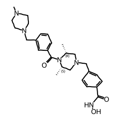 C[C@@H]1CN(Cc2ccc(C(=O)NO)cc2)C[C@H](C)N1C(=O)c1cccc(CN2CCN(C)CC2)c1